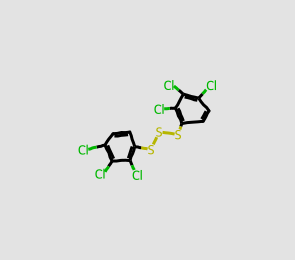 Clc1ccc(SSSc2ccc(Cl)c(Cl)c2Cl)c(Cl)c1Cl